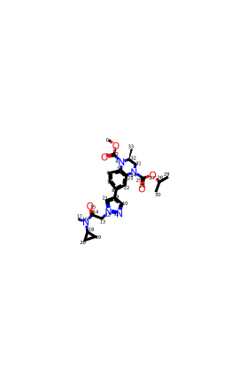 COC(=O)N1c2ccc(-c3cnn(CC(=O)N(C)C4CC4)c3)cc2N(C(=O)OC(C)C)C[C@@H]1C